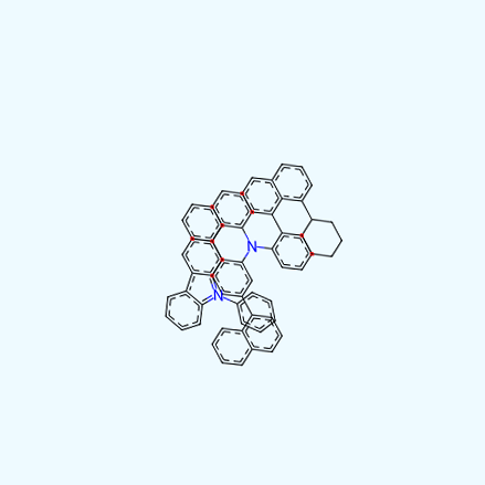 c1ccc(-c2ccc(-c3cccc4ccccc34)cc2N(c2ccccc2-c2ccc3c4ccccc4n(-c4ccccc4)c3c2)c2ccccc2-c2cccc3cccc(C4CCCCC4)c23)cc1